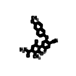 COc1ccc2cc(Oc3cc(-n4c(=O)cc(C(N)=O)n(C)c4=O)c(F)cc3C#N)ccc2c1